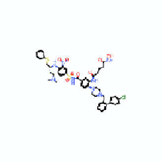 CN(C)CC[C@H](CSc1ccccc1)Nc1ccc(S(=O)(=O)NC(=O)c2ccc(N3CCN(Cc4ccccc4-c4ccc(Cl)cc4)CC3)c(NC(=O)CCCC(=O)NO)c2)cc1[N+](=O)[O-]